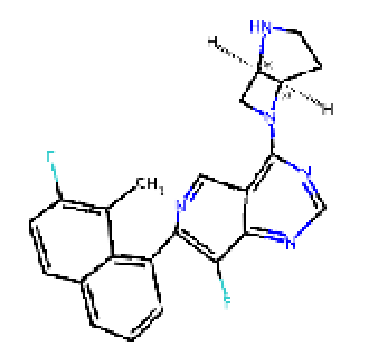 Cc1c(F)ccc2cccc(-c3ncc4c(N5C[C@H]6NCC[C@H]65)ncnc4c3F)c12